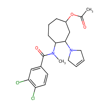 CC(=O)OC1CCCC(N(C)C(=O)c2ccc(Cl)c(Cl)c2)C(N2CC=CC2)C1